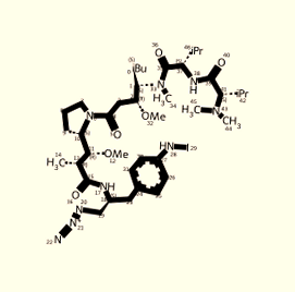 CC[C@H](C)[C@@H]([C@@H](CC(=O)N1CCC[C@H]1[C@H](OC)[C@@H](C)C(=O)N[C@H](CN=[N+]=[N-])Cc1ccc(NI)cc1)OC)N(C)C(=O)[C@@H](NC(=O)[C@H](C(C)C)N(C)C)C(C)C